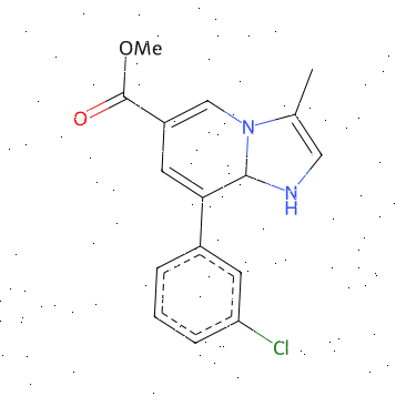 COC(=O)C1=CN2C(C)=CNC2C(c2cccc(Cl)c2)=C1